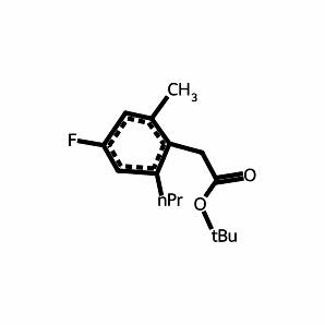 CCCc1cc(F)cc(C)c1CC(=O)OC(C)(C)C